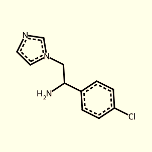 NC(Cn1ccnc1)c1ccc(Cl)cc1